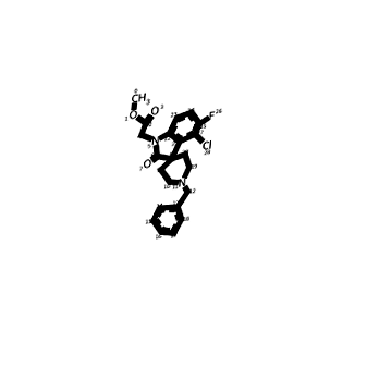 COC(=O)CN1C(=O)C2(CCN(Cc3ccccc3)CC2)c2c1ccc(F)c2Cl